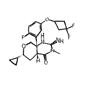 CN1C(=N)N[C@@]2(c3cc(OC4CC(F)(F)C4)ccc3F)CO[C@@H](C3CC3)C[C@H]2C1=O